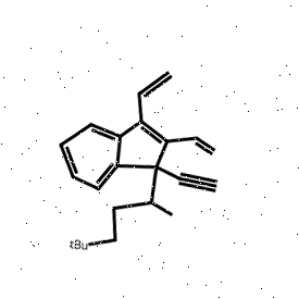 C#CC1(C(C)CCC(C)(C)C)C(C=C)=C(C=C)c2ccccc21